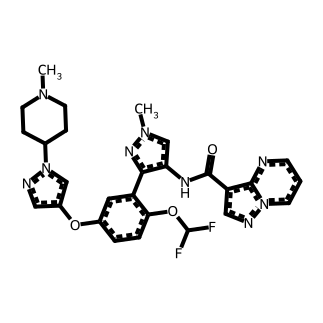 CN1CCC(n2cc(Oc3ccc(OC(F)F)c(-c4nn(C)cc4NC(=O)c4cnn5cccnc45)c3)cn2)CC1